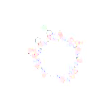 CC(C)C[C@H]1C(=O)N[C@@H](COC[C@@H](C)O)C(=O)N(C)[C@@H](Cc2ccccc2)C(=O)N(C)[C@@H](Cc2cccc(Cl)c2)C(=O)N[C@@H](COC(C)(C)C)C(=O)N(C)[C@@H](CC(C)C)C(=O)N[C@@H]([C@@H](C)O)C(=O)N(C)[C@@H](CC(C)C)C(=O)N(C)[C@@H](CC(C)C)C(=O)N[C@H](C(=O)N2CCCCC2)CC(=O)N(C)CCCC(=O)N1C